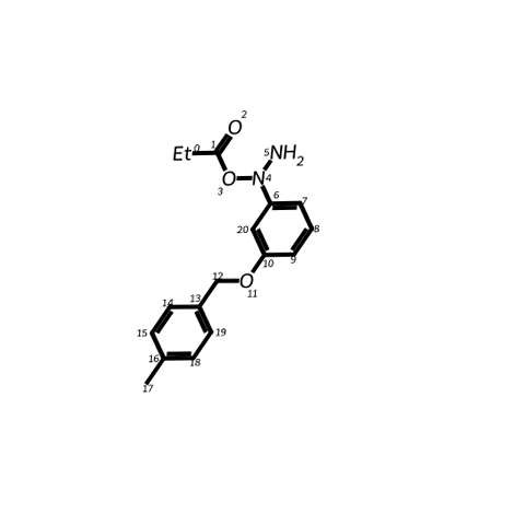 CCC(=O)ON(N)c1cccc(OCc2ccc(C)cc2)c1